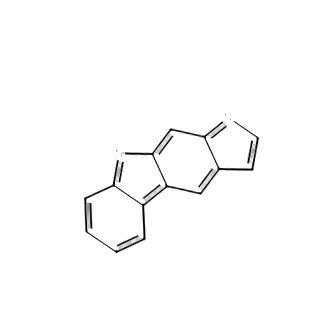 C1=Cc2cc3c(cc2=N1)N=c1ccccc1=3